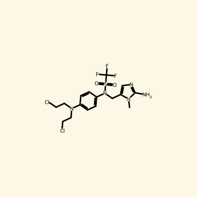 Cn1c(CN(c2ccc(N(CCCl)CCCl)cc2)S(=O)(=O)C(F)(F)F)cnc1N